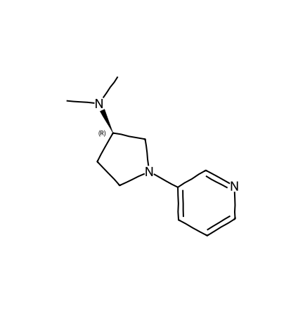 CN(C)[C@@H]1CCN(c2cccnc2)C1